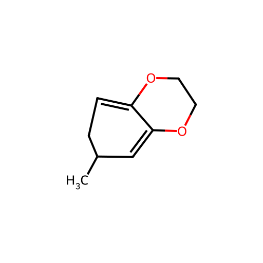 CC1C=C2OCCOC2=CC1